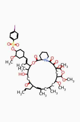 C=CCC1/C=C(/C)CC(C)CC(OC)C2CC(O)(C(=O)C(=O)N3CCCCC3C(=O)OC(/C(C)=C/C3CCC(OS(=O)(=O)c4ccc(I)cc4)C(OC)C3)C(C)C(O)CC1=O)C(C)OC2OC